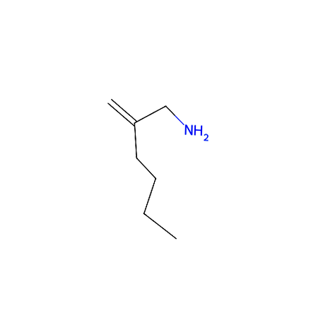 C=C(CN)CCCC